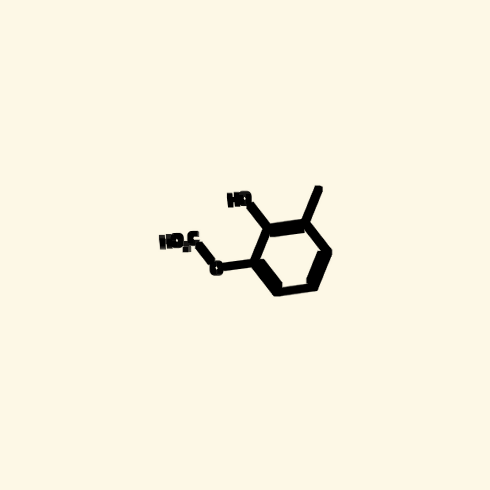 Cc1cccc(OC(=O)O)c1O